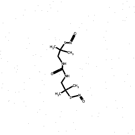 CC(C)(CNC(=O)NCC(C)(C)SN=O)SN=O